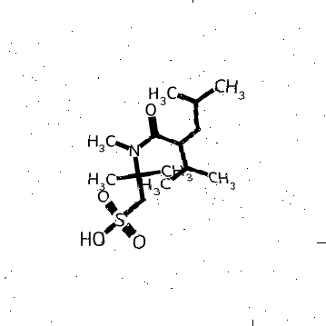 CC(C)CC(C(=O)N(C)C(C)(C)CS(=O)(=O)O)C(C)C